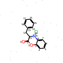 O=C1Oc2ccccc2N(Cl)C1Cc1ccccc1